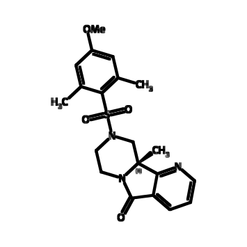 COc1cc(C)c(S(=O)(=O)N2CCN3C(=O)c4cccnc4[C@@]3(C)C2)c(C)c1